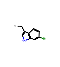 N#CCc1c[nH]c2cc(Br)ccc12